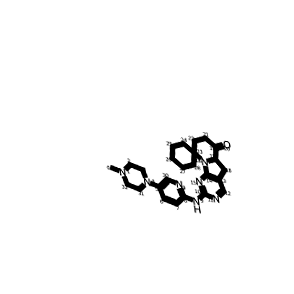 CN1CCN(c2ccc(Nc3ncc4c(n3)N3C(C4)C(=O)CCC34CCCCC4)nc2)CC1